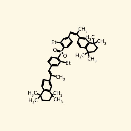 CCc1cc(C=C(C)c2ccc3c(c2)C(C)(C)CCC3(C)C)ccc1S(=O)(=O)c1ccc(C=C(C)c2ccc3c(c2)C(C)(C)CCC3(C)C)cc1CC